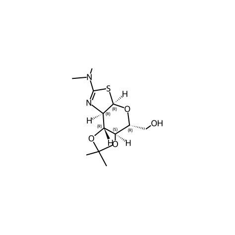 CN(C)C1=N[C@@H]2[C@H]3OC(C)(C)O[C@@H]3[C@@H](CO)O[C@@H]2S1